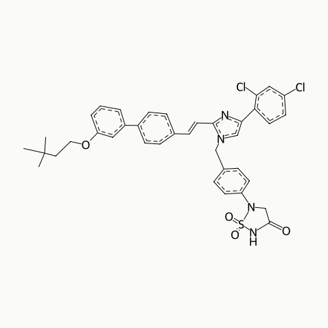 CC(C)(C)CCOc1cccc(-c2ccc(/C=C/c3nc(-c4ccc(Cl)cc4Cl)cn3Cc3ccc(N4CC(=O)NS4(=O)=O)cc3)cc2)c1